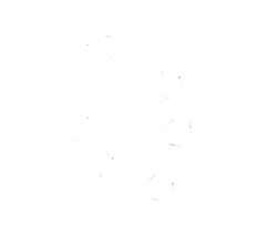 COP(C)(=O)CC[C@@H](OCc1ccccc1)[C@@H](OCc1ccccc1)[C@@H](CN(C=O)OCc1ccccc1)OCc1ccccc1